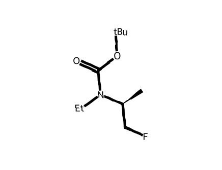 CCN(C(=O)OC(C)(C)C)[C@@H](C)CF